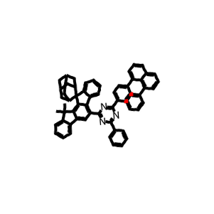 CC1(C)c2ccccc2-c2cc(-c3nc(-c4ccccc4)nc(-c4ccc(-c5cccc6cccc(-c7ccccc7)c56)cc4)n3)c3c(c21)C1(c2ccccc2-3)C2CC3CC(C2)CC1C3